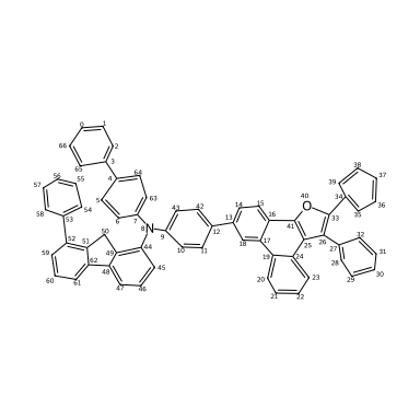 c1ccc(-c2ccc(N(c3ccc(-c4ccc5c(c4)c4ccccc4c4c(-c6ccccc6)c(-c6ccccc6)oc54)cc3)c3cccc4c3Cc3c(-c5ccccc5)cccc3-4)cc2)cc1